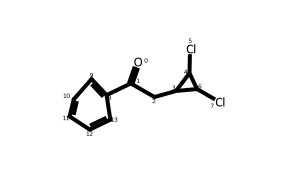 O=C(CC1C(Cl)C1Cl)c1ccccc1